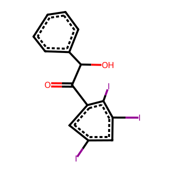 O=C(c1cc(I)cc(I)c1I)C(O)c1ccccc1